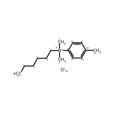 CCCCCC[N+](C)(C)c1ccc(C)cc1.[Cl-]